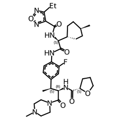 CCc1nonc1C(=O)N[C@H](C(=O)Nc1ccc([C@H](C)[C@@H](NC(=O)[C@@H]2CCCO2)C(=O)N2CCN(C)CC2)cc1F)[C@H]1CC[C@H](C)CC1